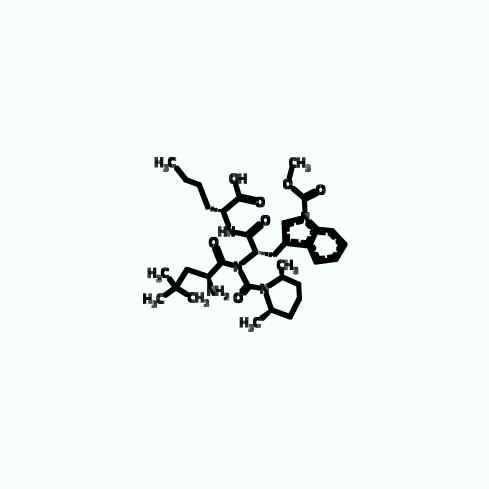 CCCC[C@@H](NC(=O)[C@H](Cc1cn(C(=O)OC)c2ccccc12)N(C(=O)[C@@H](N)CC(C)(C)C)C(=O)N1[C@H](C)CCC[C@@H]1C)C(=O)O